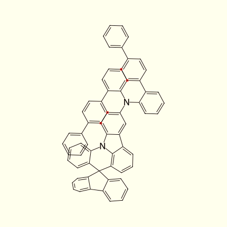 c1ccc(-c2ccc(-c3ccccc3N(c3ccc4c(c3)c3cccc5c3n4-c3ccccc3C53c4ccccc4-c4ccccc43)c3ccccc3-c3ccc(-c4ccccc4)cc3)cc2)cc1